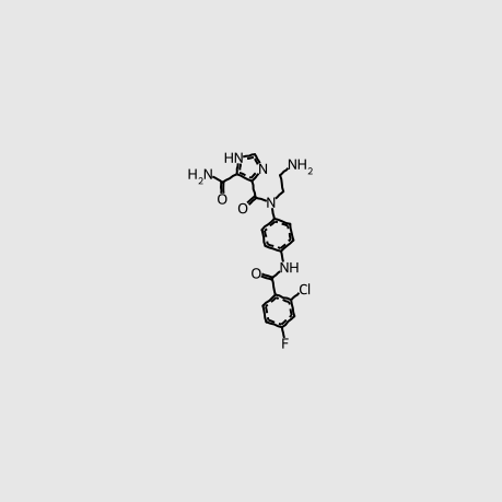 NCCN(C(=O)c1nc[nH]c1C(N)=O)c1ccc(NC(=O)c2ccc(F)cc2Cl)cc1